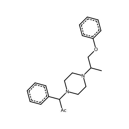 CC(=O)C(c1ccccc1)N1CCN(C(C)COc2ccccc2)CC1